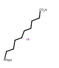 CCCCCCCCCCCCCCCC(=O)O.I